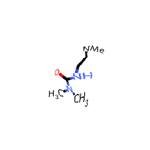 CNCCNC(=O)N(C)C